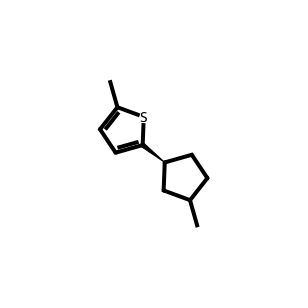 Cc1ccc([C@H]2CCC(C)C2)s1